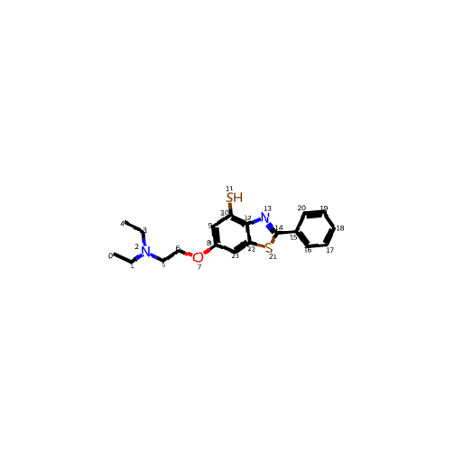 CCN(CC)CCOc1cc(S)c2nc(-c3ccccc3)sc2c1